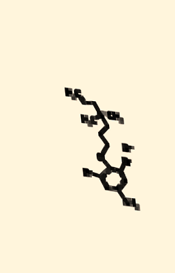 C=CC[N+](C)(C)CCCOc1c(Br)cc(N)cc1Br.[Br-]